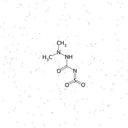 CN(C)NC(=O)N=S(=O)=O